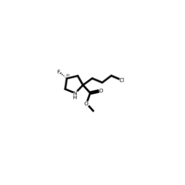 COC(=O)C1(CCCCl)C[C@@H](F)CN1